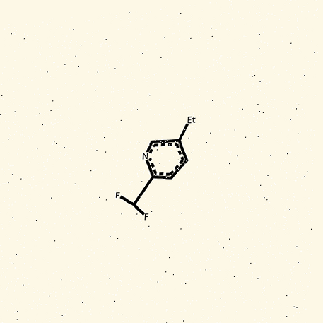 [CH2]Cc1ccc(C(F)F)nc1